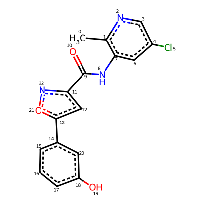 Cc1ncc(Cl)cc1NC(=O)c1cc(-c2cccc(O)c2)on1